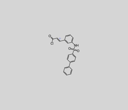 O=C(Cl)/C=C/c1cccc(NS(=O)(=O)c2ccc(-c3ccccc3)cc2)c1